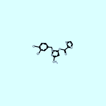 Cc1cc(OC(=O)c2ncco2)n(Cc2ccc(Cl)c(Cl)c2)n1